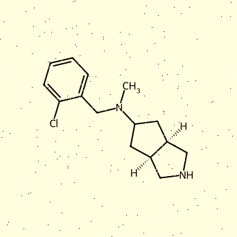 CN(Cc1ccccc1Cl)C1C[C@H]2CNC[C@H]2C1